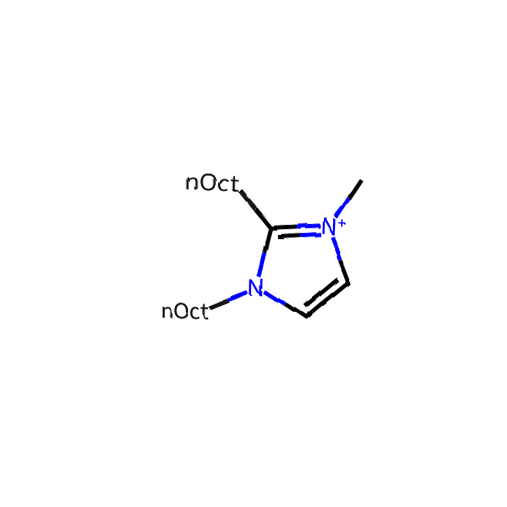 CCCCCCCCc1n(CCCCCCCC)cc[n+]1C